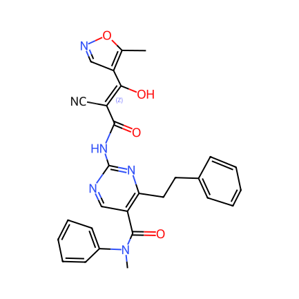 Cc1oncc1/C(O)=C(\C#N)C(=O)Nc1ncc(C(=O)N(C)c2ccccc2)c(CCc2ccccc2)n1